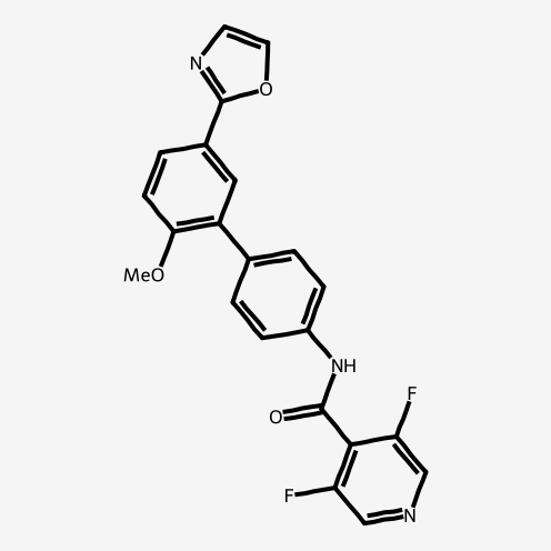 COc1ccc(-c2ncco2)cc1-c1ccc(NC(=O)c2c(F)cncc2F)cc1